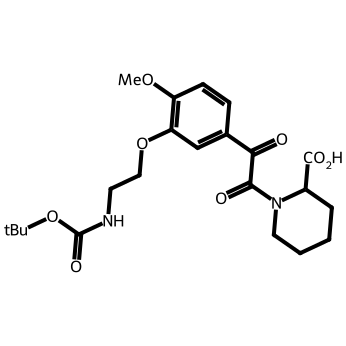 COc1ccc(C(=O)C(=O)N2CCCCC2C(=O)O)cc1OCCNC(=O)OC(C)(C)C